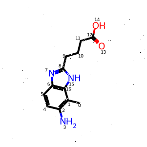 Cc1c(N)ccc2nc(CCCC(=O)O)[nH]c12